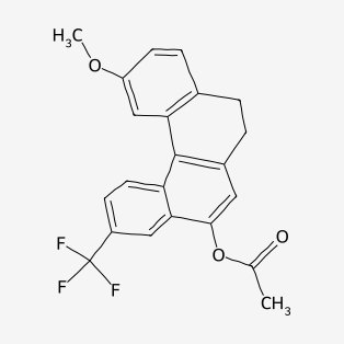 COc1ccc2c(c1)-c1c(cc(OC(C)=O)c3cc(C(F)(F)F)ccc13)CC2